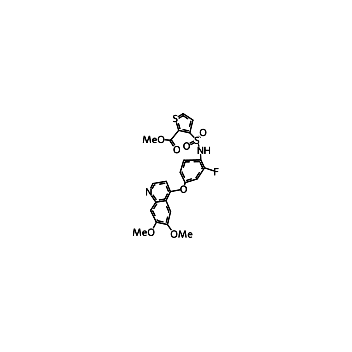 COC(=O)c1sccc1S(=O)(=O)Nc1ccc(Oc2ccnc3cc(OC)c(OC)cc23)cc1F